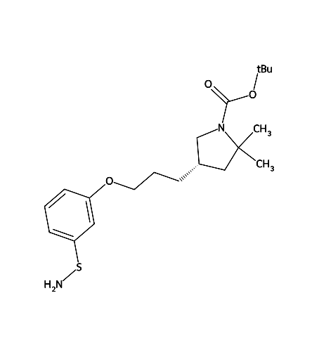 CC(C)(C)OC(=O)N1C[C@@H](CCCOc2cccc(SN)c2)CC1(C)C